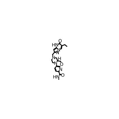 CCc1cn2nc(CN3CCN4c5ccc(C(=O)NC)nc5OC[C@H]4C3)cc2[nH]c1=O